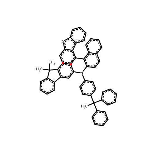 CC1(C)c2ccccc2-c2cc(N(c3ccc(C(C)(c4ccccc4)c4ccccc4)cc3)c3ccc4ccccc4c3-c3cccc4sc5ccccc5c34)ccc21